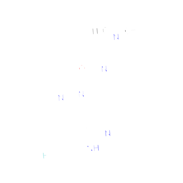 CN(C)CCNC(=O)Cn1cnc(-c2ccc(F)cc2)c1-c1ccnc2[nH]ccc12